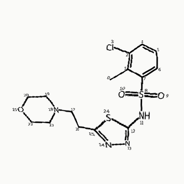 Cc1c(Cl)cccc1S(=O)(=O)Nc1nnc(CCN2CCOCC2)s1